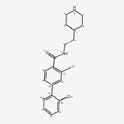 O=C(NCCN1CCNCC1)c1ccc(-c2ncccc2Cl)cc1F